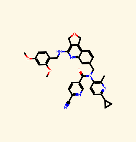 COc1ccc(CNc2nc3cc(CN(C(=O)c4ccc(C#N)nc4)c4ccc(C5CC5)nc4C)ccc3c3c2COC3)c(OC)c1